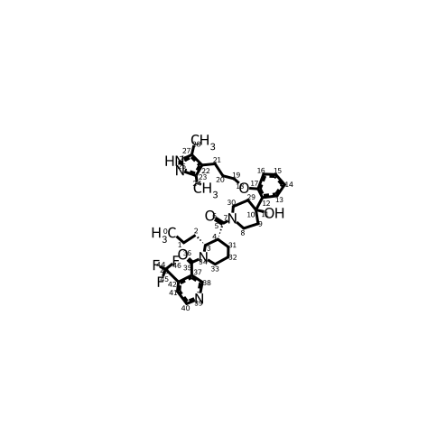 CCC[C@@H]1[C@H](C(=O)N2CCC(O)(c3ccccc3OCCCc3c(C)n[nH]c3C)CC2)CCCN1C(=O)c1cnccc1C(F)(F)F